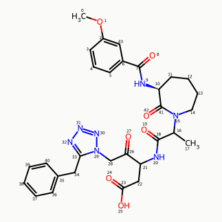 COc1cccc(C(=O)N[C@H]2CCCCN(C(C)C(=O)NC(CC(=O)O)C(=O)Cn3nnnc3Cc3ccccc3)C2=O)c1